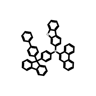 c1ccc(-c2ccc(C3(c4ccc(N(c5ccc6c(c5)oc5ccccc56)c5cc6ccccc6c6ccccc56)cc4)c4ccccc4-c4ccccc43)cc2)cc1